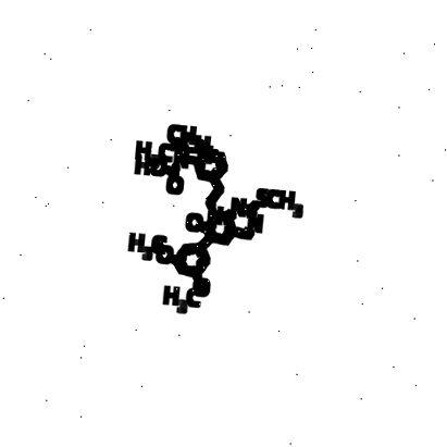 COc1cc(OC)cc(-c2cc3cnc(SC)nc3n(CCc3ccnc(N(C(=O)O)C(C)(C)C)c3)c2=O)c1